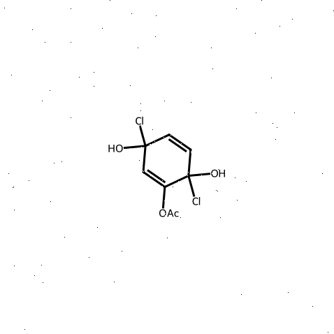 CC(=O)OC1=CC(O)(Cl)C=CC1(O)Cl